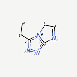 CCc1nnc2n1CC=N2